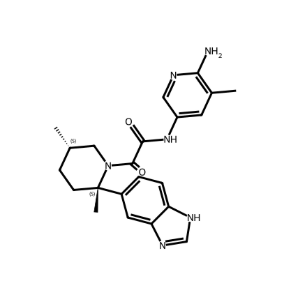 Cc1cc(NC(=O)C(=O)N2C[C@@H](C)CC[C@@]2(C)c2ccc3[nH]cnc3c2)cnc1N